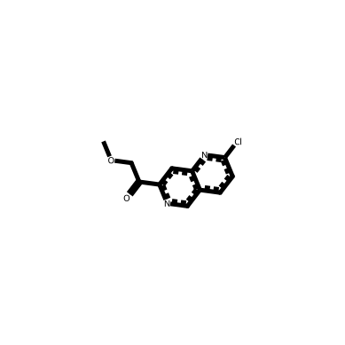 COCC(=O)c1cc2nc(Cl)ccc2cn1